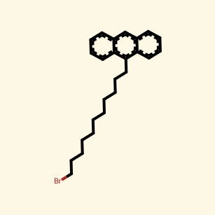 BrCCCCCCCCCCCc1c2ccccc2cc2ccccc12